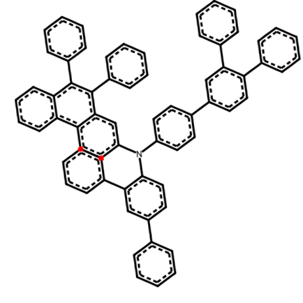 c1ccc(-c2ccc(N(c3ccc(-c4ccc(-c5ccccc5)c(-c5ccccc5)c4)cc3)c3ccc4c(c3)c(-c3ccccc3)c(-c3ccccc3)c3ccccc34)c(-c3ccccc3)c2)cc1